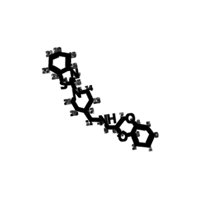 c1ccc2c(c1)OCC(CNCC1CCN(c3nc4ccccc4s3)CC1)O2